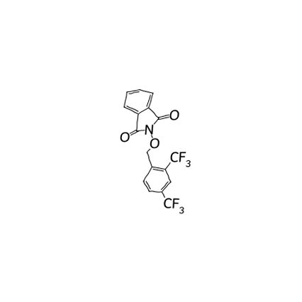 O=C1c2ccccc2C(=O)N1OCc1ccc(C(F)(F)F)cc1C(F)(F)F